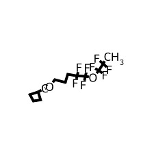 CC(F)(F)C(F)(F)OC(F)(F)C(F)(F)CCCOCC1CCC1